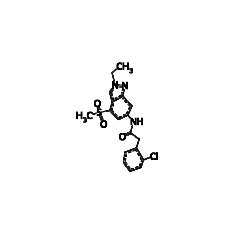 CCn1cc2c(S(C)(=O)=O)cc(NC(=O)Cc3ccccc3Cl)cc2n1